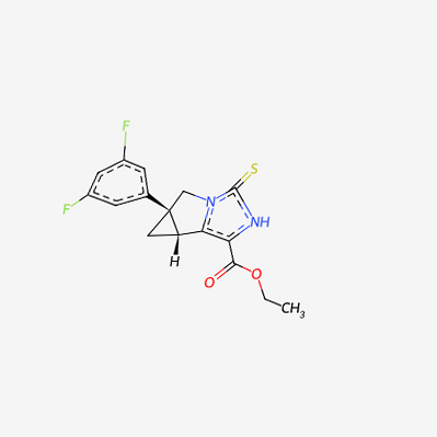 CCOC(=O)c1[nH]c(=S)n2c1[C@@H]1C[C@]1(c1cc(F)cc(F)c1)C2